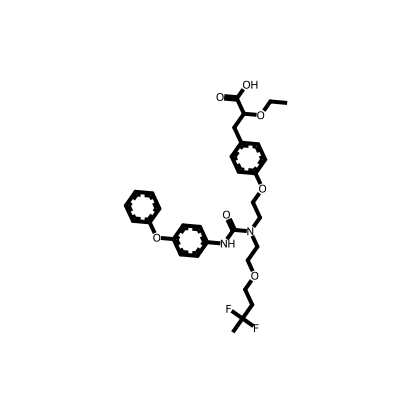 CCOC(Cc1ccc(OCCN(CCOCCC(C)(F)F)C(=O)Nc2ccc(Oc3ccccc3)cc2)cc1)C(=O)O